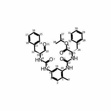 Cc1ccc(NC(=O)N[C@H](C=O)Cc2ccccc2)cc1NC(=O)N[C@@H](Cc1ccccc1)C(=O)OC(C)C